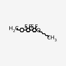 C=CC1CCC(c2ccc(-c3ccc(OCCCCCCC)c(F)c3F)c(F)c2F)CC1